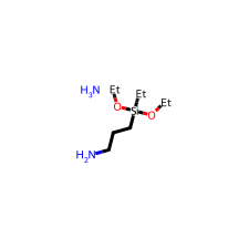 CCO[Si](CC)(CCCN)OCC.N